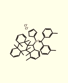 CC1=CC=CC2[CH]([Zr+2]([C]3=CC=CC3)=[C](c3cccc(C)c3)c3cccc(C)c3)C3(C)C4(C)C=CC=CC4(C)C4(C)C=CC=CC4(C)C3(C)C12C.[Cl-].[Cl-]